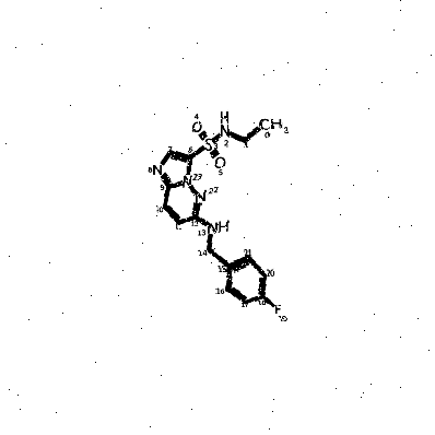 CCNS(=O)(=O)c1cnc2ccc(NCc3ccc(F)cc3)nn12